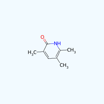 Cc1cc(C)c(=O)[nH]c1C